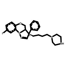 Fc1ccc2c(c1)N1N=[C][C@@](CCCCN3CCNCC3)(c3ccccc3)C1CO2